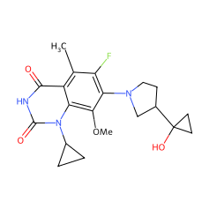 COc1c(N2CCC(C3(O)CC3)C2)c(F)c(C)c2c(=O)[nH]c(=O)n(C3CC3)c12